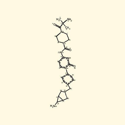 CC(C)(N)C(=O)N1CCN(C(=O)Nc2ccn(-c3ccc(CN4CC5C(N)C5C4)cc3)c(=O)n2)CC1